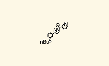 CCCCSc1cccc(C2=NN(C(=O)c3cccnc3)CC2)c1